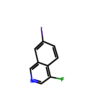 Fc1cncc2cc(I)ccc12